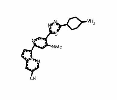 CNc1cc(-c2ccc3cc(C#N)cnn23)ncc1-c1nnc(C2CCC(N)CC2)s1